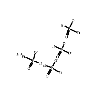 CCP(=O)([O-])CC.CCP(=O)([O-])CC.CCP(=O)([O-])CC.CCP(=O)([O-])CC.[Sn+4]